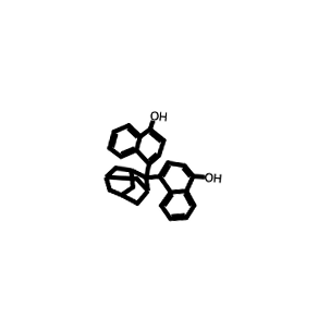 Oc1ccc(C2(c3ccc(O)c4ccccc34)C3CC4CC(C3)CC2C4)c2ccccc12